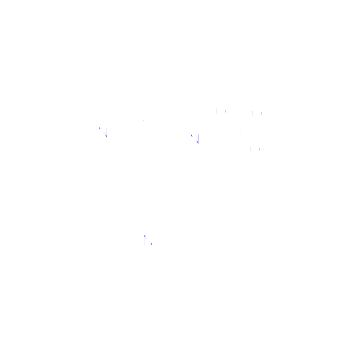 CCCCc1cccnc1-c1cc(-c2ncccc2CCCC)c2c(c1)N(C(CC)S(=O)(=O)O)c1ccccc1S2